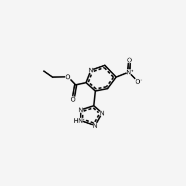 CCOC(=O)c1ncc([N+](=O)[O-])cc1-c1nn[nH]n1